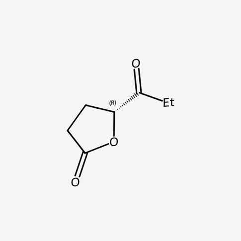 CCC(=O)[C@H]1CCC(=O)O1